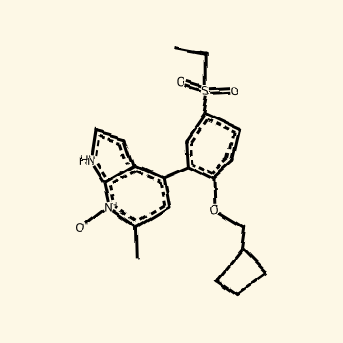 CCS(=O)(=O)c1ccc(OCC2CCC2)c(-c2cc(C)[n+]([O-])c3[nH]ccc23)c1